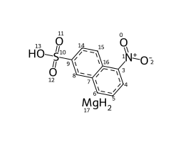 O=[N+]([O-])c1cccc2cc(S(=O)(=O)O)ccc12.[MgH2]